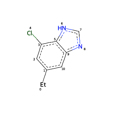 CCc1cc(Cl)c2[nH]cnc2c1